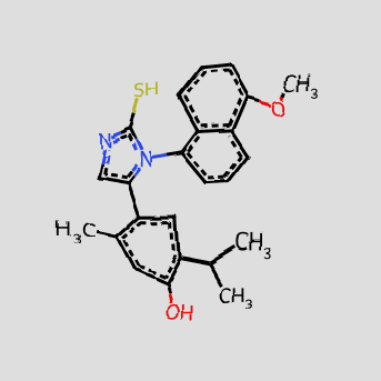 COc1cccc2c(-n3c(-c4cc(C(C)C)c(O)cc4C)cnc3S)cccc12